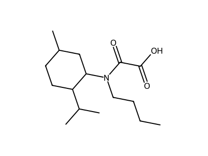 CCCCN(C(=O)C(=O)O)C1CC(C)CCC1C(C)C